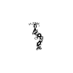 CC1(N)CCN(c2cnc(Sc3ccc4c(c3Cl)=CN(Cc3cccc([N+](=O)[O-])c3)CN=4)cn2)CC1